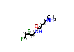 CNCCCCC(=O)NC/C=C\C(F)=C/CF